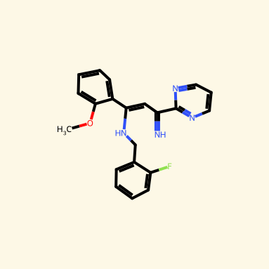 COc1ccccc1/C(=C/C(=N)c1ncccn1)NCc1ccccc1F